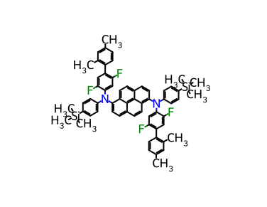 Cc1ccc(-c2cc(F)c(N(c3ccc([Si](C)(C)C)cc3)c3ccc4ccc5c(N(c6ccc([Si](C)(C)C)cc6)c6cc(F)c(-c7ccc(C)cc7C)cc6F)ccc6ccc3c4c65)cc2F)c(C)c1